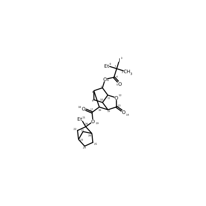 CCC(C)(I)C(=O)OC1C2CC3C1OC(=O)C3C2C(=O)OC1(CC)CC2CCC1C2